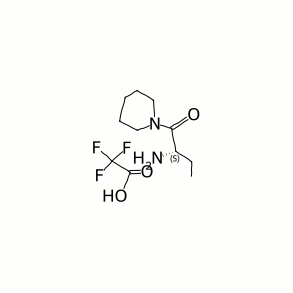 CC[C@H](N)C(=O)N1CCCCC1.O=C(O)C(F)(F)F